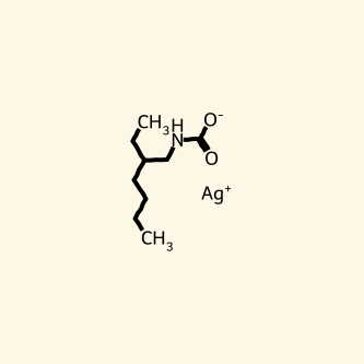 CCCCC(CC)CNC(=O)[O-].[Ag+]